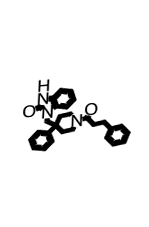 O=C(CCc1ccccc1)N1CCC(Cn2c(=O)[nH]c3ccccc32)(c2ccccc2)CC1